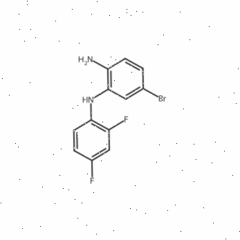 Nc1ccc(Br)cc1Nc1ccc(F)cc1F